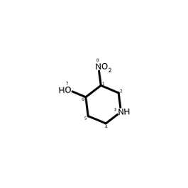 O=[N+]([O-])C1CNCCC1O